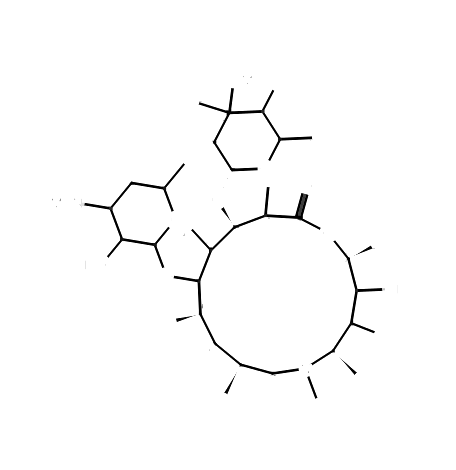 CC[C@@H]1OC(=O)C(C)[C@H](O[C@@H]2CC(C)(OC)C(O)C(C)O2)C(C)C(OC2OC(C)CC(NC)C2O)[C@H](O)C[C@H](C)CN(C)[C@H](C)C(O)C1O